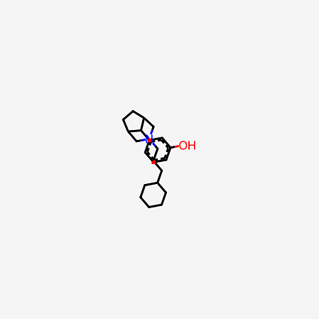 Oc1cccc(C2C3CCC2CN(CCCC2CCCCC2)C3)c1